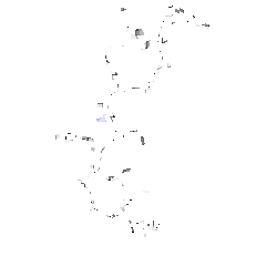 COc1ccc(C(=O)/C(C)=C/c2ccc(OC)c(C)c2)cc1